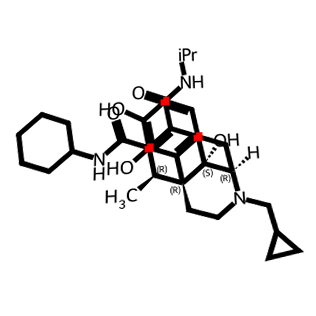 CC(C)NC(=O)C1=C(C(=O)NC2CCCCC2)[C@H](C)[C@]23CCN(CC4CC4)[C@H](Cc4ccc(O)c(O)c42)[C@]3(O)C1